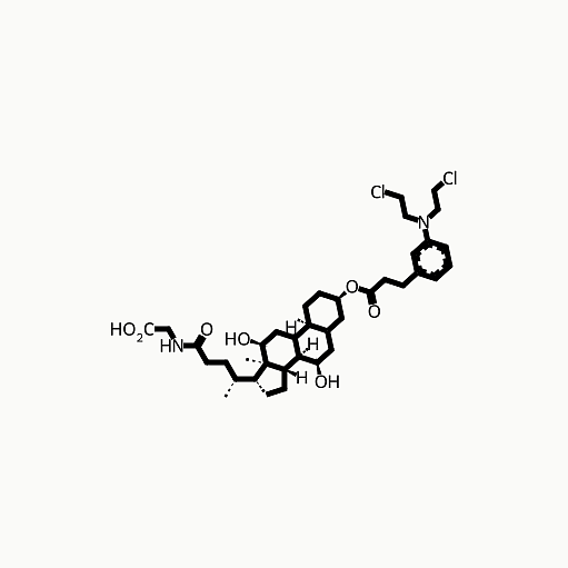 C[C@H](CCC(=O)NCC(=O)O)[C@H]1CC[C@H]2[C@@H]3[C@H](O)CC4C[C@H](OC(=O)CCc5cccc(N(CCCl)CCCl)c5)CC[C@]4(C)[C@H]3C[C@H](O)[C@]12C